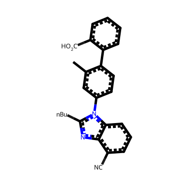 CCCCc1nc2c(C#N)cccc2n1-c1ccc(-c2ccccc2C(=O)O)c(C)c1